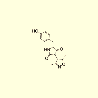 Cc1noc(C)c1N1C(=O)NC(Cc2ccc(O)cc2)C1=O